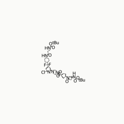 CC(C)(C)OC(=O)NCCC(=O)NC1CCC(C(F)(F)c2cc(Cl)nc(N3CCN(S(=O)(=O)c4ccc(N5C[C@H](NC(=O)OC(C)(C)C)CC5=O)cc4)CC3)c2)CC1